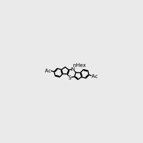 CCCCCCN1C2=C(SC3=Cc4cc(C(C)=O)ccc4C31)c1ccc(C(C)=O)cc1C2